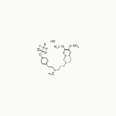 COc1cc2c(cc1OC)CC(CCCN(C)CCc1ccc(OS(=O)(=O)C(F)(F)F)cc1)CC2.Cl